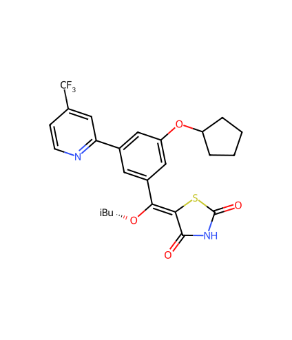 CC[C@@H](C)O/C(=C1/SC(=O)NC1=O)c1cc(OC2CCCC2)cc(-c2cc(C(F)(F)F)ccn2)c1